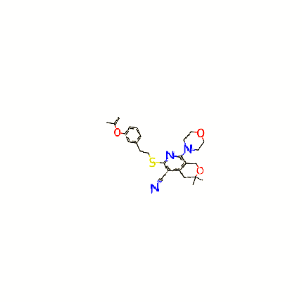 C=C(C)Oc1cccc(CCSc2nc(N3CCOCC3)c3c(c2C#N)CC(C)(C)OC3)c1